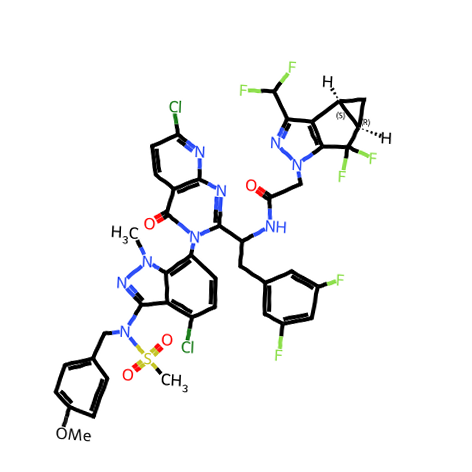 COc1ccc(CN(c2nn(C)c3c(-n4c(C(Cc5cc(F)cc(F)c5)NC(=O)Cn5nc(C(F)F)c6c5C(F)(F)[C@@H]5C[C@H]65)nc5nc(Cl)ccc5c4=O)ccc(Cl)c23)S(C)(=O)=O)cc1